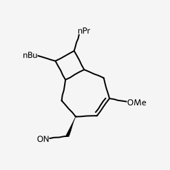 CCCCC1C(CCC)C2CC(OC)=C[C@@H](CN=O)CC12